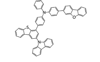 c1ccc(N(c2ccc(-c3ccc4c(c3)oc3ccccc34)cc2)c2ccc(-c3cc(-n4c5ccccc5c5ccccc54)cc4c3sc3ccccc34)cc2)cc1